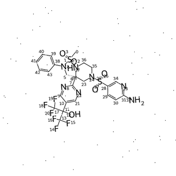 CS(=O)(=O)N(C[C@@]1(c2ncc(C(O)(C(F)(F)F)C(F)(F)F)cn2)CN(S(=O)(=O)c2ccc(N)nc2)CCN1)c1ccccc1